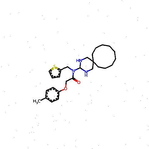 Cc1ccc(OCC(=O)N(Cc2cccs2)C2NCC3(CCCCCCCCC3)CN2)cc1